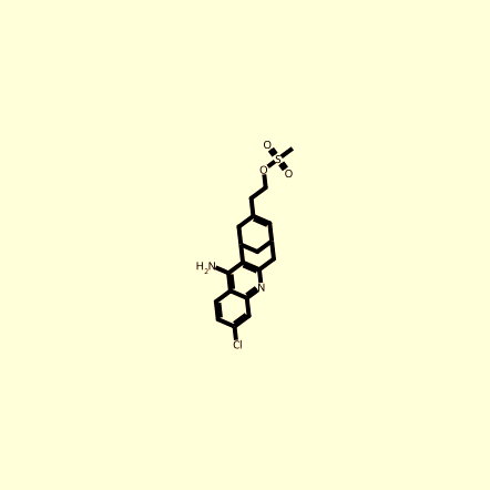 CS(=O)(=O)OCCC1=CC2Cc3nc4cc(Cl)ccc4c(N)c3C(C1)C2